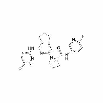 O=C(Nc1ccc(F)nc1)[C@@H]1CCCN1c1nc2c(c(Nc3ccc(=O)[nH]n3)n1)CCC2